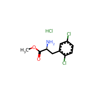 COC(=O)[C@@H](N)Cc1cc(Cl)ccc1Cl.Cl